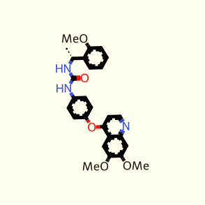 COc1cc2nccc(Oc3ccc(NC(=O)N[C@H](C)c4ccccc4OC)cc3)c2cc1OC